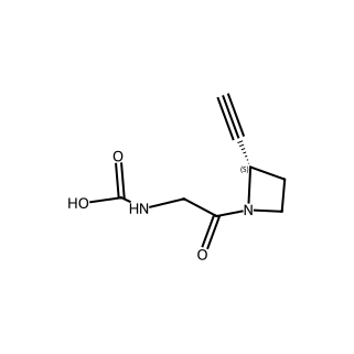 C#C[C@@H]1CCN1C(=O)CNC(=O)O